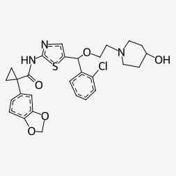 O=C(Nc1ncc(C(OCCN2CCC(O)CC2)c2ccccc2Cl)s1)C1(c2ccc3c(c2)OCO3)CC1